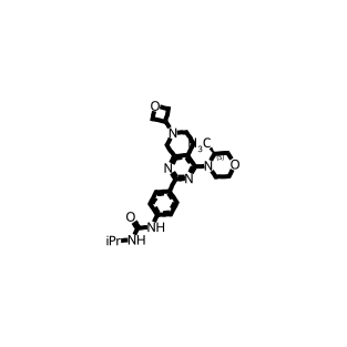 CC(C)NC(=O)Nc1ccc(-c2nc3c(c(N4CCOC[C@@H]4C)n2)CCN(C2COC2)C3)cc1